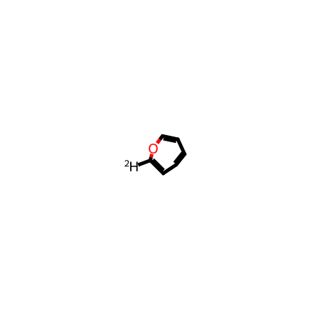 [2H]C1=CC=CC=CO1